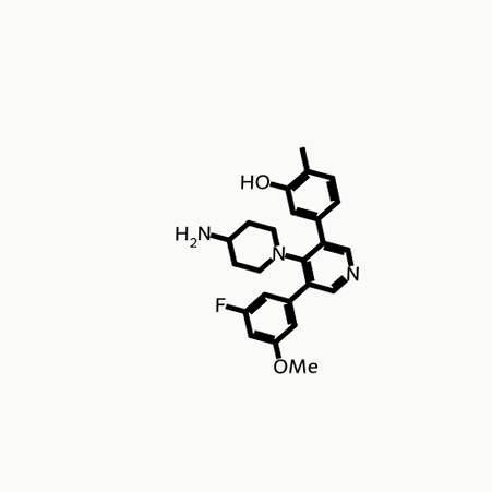 COc1cc(F)cc(-c2cncc(-c3ccc(C)c(O)c3)c2N2CCC(N)CC2)c1